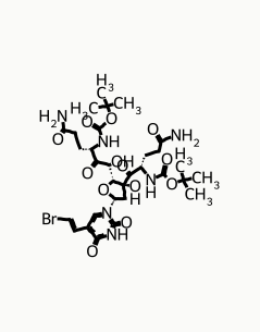 CC(C)(C)OC(=O)N[C@@H](CCC(N)=O)C(=O)C(O)[C@H]1O[C@@H](n2cc(C=CBr)c(=O)[nH]c2=O)C[C@@]1(O)C(=O)[C@H](CCC(N)=O)NC(=O)OC(C)(C)C